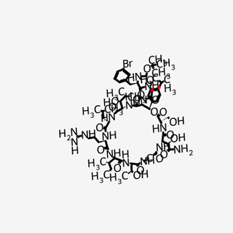 CC[C@H](C)C1NC(=O)[C@@H](CCCNC(=N)N)NC(=O)[C@H](CC(C)C)NC(=O)[C@H]([C@H](O)C(C)C)NC(=O)[C@@H](NC(=O)[C@H](CC(C)C)NC(=O)[C@@H](Cc2cccc(Br)c2)NC(=O)OC(C)(C)C)[C@@H](c2ccccc2)OC(=O)[C@H](CO)NC(=O)[C@H]([C@H](O)C(N)=O)NC(=O)CNC(=O)[C@H]([C@H](C)O)NC1=O